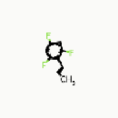 C/C=C/c1c(F)cc(F)cc1F